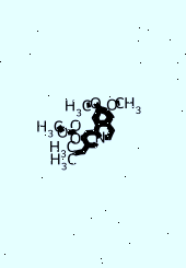 COC(=O)OC1CC2c3cc(OC)c(OC)cc3CCN2CC1CC(C)C